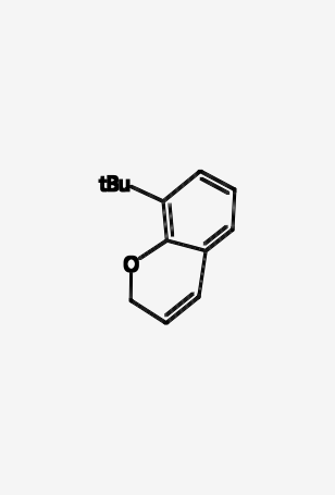 CC(C)(C)c1cccc2c1OCC=C2